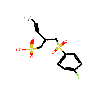 CC#CC(CS(=O)(=O)O)CS(=O)(=O)c1ccc(F)cc1